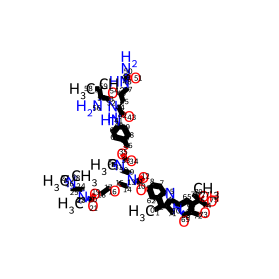 CCc1c2c(nc3ccc(OC(=O)N(CCOCCOC(=O)N(C)CCN(C)C)CCN(C)C(=O)OCc4ccc(NC(=O)[C@H](CCCNC(N)=O)NC(=O)[C@@H](N)C(C)C)cc4)cc13)-c1cc3c(c(=O)n1C2)COC(=O)[C@@]3(O)CC